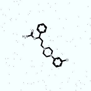 NC(=O)OC(CCN1CCN(c2cccc(Cl)c2)CC1)c1ccccc1